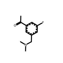 CC(=O)c1cc(F)cc(CN(C)C)c1